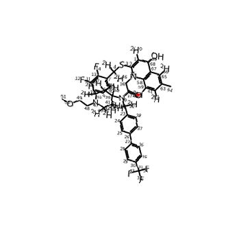 [2H]C1=C(SC([2H])([2H])c2cccc(F)c2F)N(CC(=O)N(C([2H])([2H])c2ccc(-c3ccc(C(F)(F)F)cc3)cc2)C2([2H])C([2H])([2H])C([2H])([2H])N(CCOC)C([2H])([2H])C2([2H])[2H])c2c([2H])c([2H])c(C)c([2H])c2C1O